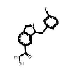 O=C(NO)c1ccc2c(c1)C(Cc1cccc(F)c1)N=C2